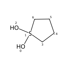 OS1(O)C[CH]CC1